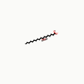 CCCCCCCCCCCCCCCCCC(=O)[O-].[Li+].[Li+].[OH-].[Zr]